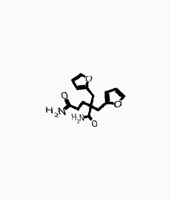 NC(=O)CCC(Cc1ccco1)(Cc1ccco1)C(N)=O